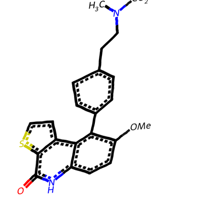 COc1ccc2[nH]c(=O)c3sccc3c2c1-c1ccc(CCN(C)C(=O)O)cc1